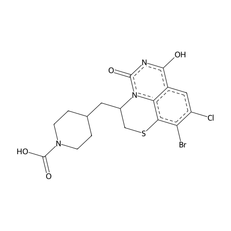 O=C(O)N1CCC(CC2CSc3c(Br)c(Cl)cc4c(O)nc(=O)n2c34)CC1